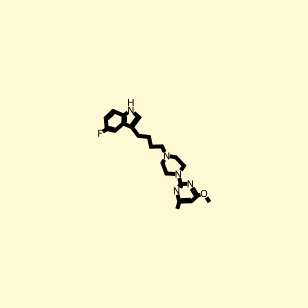 COc1cc(C)nc(N2CCN(CCCCc3c[nH]c4ccc(F)cc34)CC2)n1